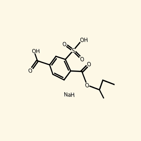 CCC(C)OC(=O)c1ccc(C(=O)O)cc1S(=O)(=O)O.[NaH]